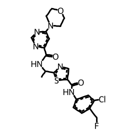 CC(NC(=O)c1cc(N2CCOCC2)ncn1)c1ncc(C(=O)Nc2ccc(CF)c(Cl)c2)s1